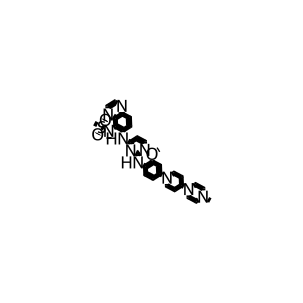 COc1cc(N2CCC(N3CCN(C)CC3)CC2)ccc1Nc1nccc(Nc2ccc3nccnc3c2N(C)S(C)(=O)=O)n1